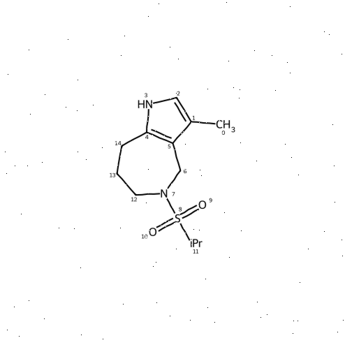 Cc1c[nH]c2c1CN(S(=O)(=O)C(C)C)CCC2